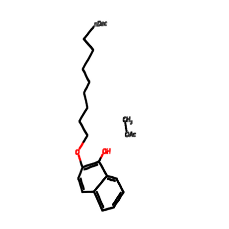 CCCCCCCCCCCCCCCCCCOc1ccc2ccccc2c1O.COC(C)=O